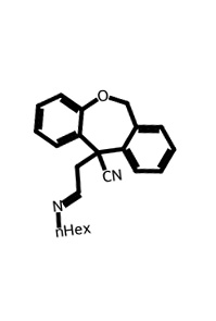 CCCCCCN=CCC1(C#N)c2ccccc2COc2ccccc21